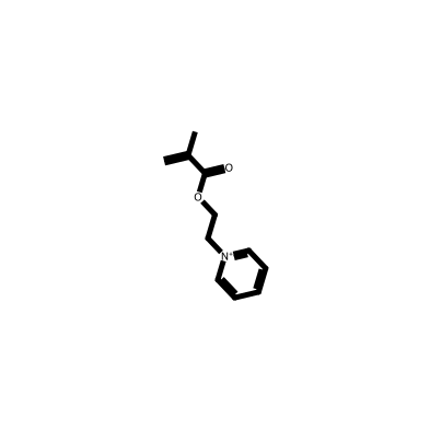 C=C(C)C(=O)OCC[n+]1ccccc1